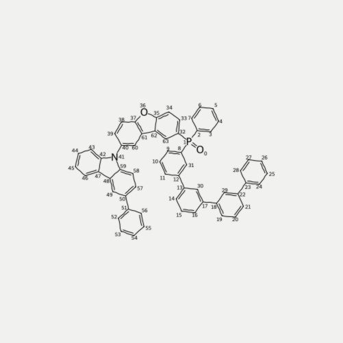 O=P(c1ccccc1)(c1cccc(-c2cccc(-c3cccc(-c4ccccc4)c3)c2)c1)c1ccc2oc3ccc(-n4c5ccccc5c5cc(-c6ccccc6)ccc54)cc3c2c1